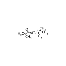 C=C(C)C(=O)NCSCC(C)(C)C